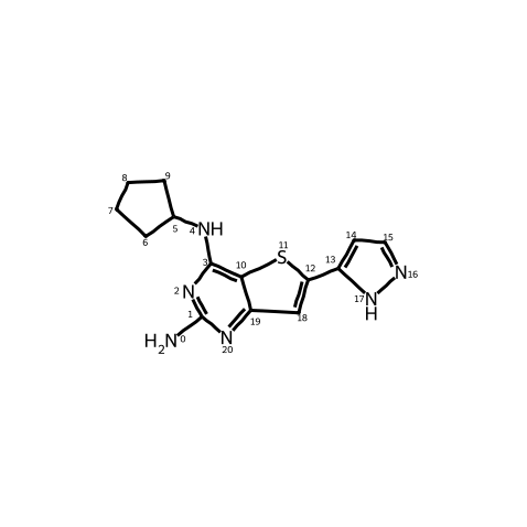 Nc1nc(NC2CCCC2)c2sc(-c3ccn[nH]3)cc2n1